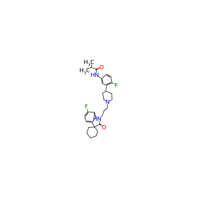 CC(C)C(=O)Nc1ccc(F)c(C2CCN(CCCNC(=O)C3(c4ccc(F)cc4)CCCCC3)CC2)c1